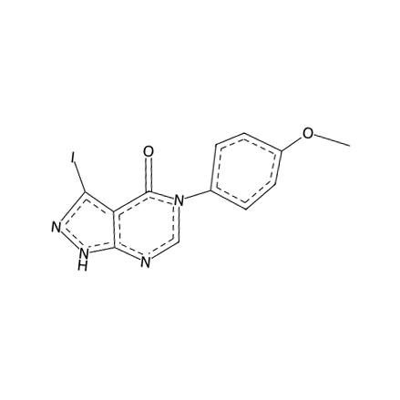 COc1ccc(-n2cnc3[nH]nc(I)c3c2=O)cc1